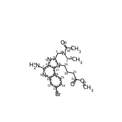 CCN(Cc1nc2c(N)nc3cc(Br)ccc3c2n1CCCC(=O)OC)C(C)=O